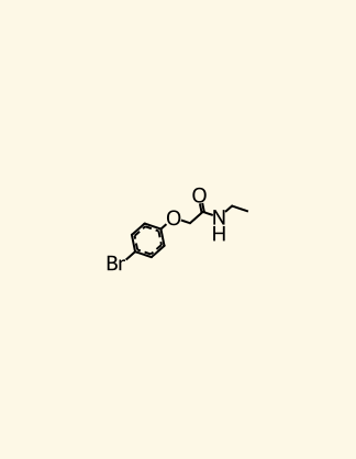 CCNC(=O)COc1ccc(Br)cc1